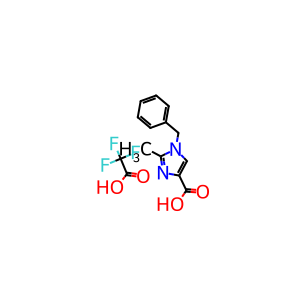 Cc1nc(C(=O)O)cn1Cc1ccccc1.O=C(O)C(F)(F)F